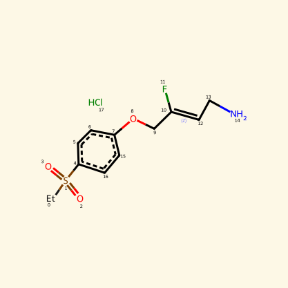 CCS(=O)(=O)c1ccc(OC/C(F)=C/CN)cc1.Cl